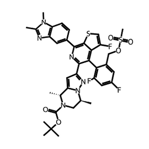 Cc1nc2cc(-c3nc(-c4cc5n(n4)[C@@H](C)CN(C(=O)OC(C)(C)C)[C@@H]5C)c(-c4c(F)cc(F)cc4COS(C)(=O)=O)c4c(F)csc34)ccc2n1C